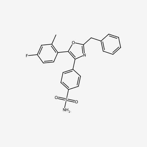 Cc1cc(F)ccc1-c1oc(Cc2ccccc2)nc1-c1ccc(S(N)(=O)=O)cc1